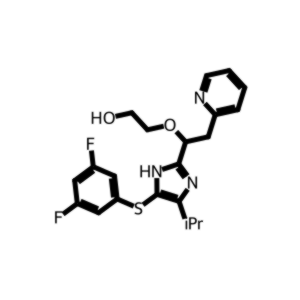 CC(C)c1nc(C(Cc2ccccn2)OCCO)[nH]c1Sc1cc(F)cc(F)c1